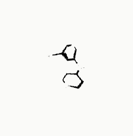 Brc1cncc(NC2CCOCC2)c1